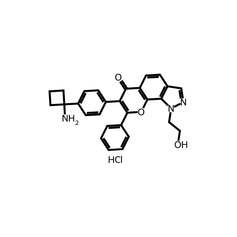 Cl.NC1(c2ccc(-c3c(-c4ccccc4)oc4c(ccc5cnn(CCO)c54)c3=O)cc2)CCC1